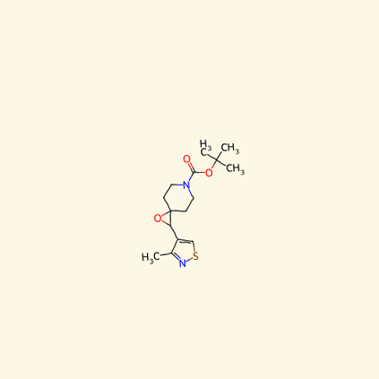 Cc1nscc1C1OC12CCN(C(=O)OC(C)(C)C)CC2